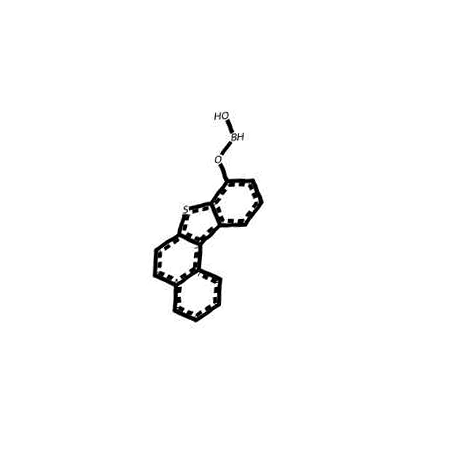 OBOc1cccc2c1sc1ccc3ccccc3c12